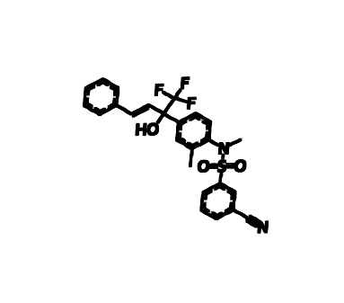 Cc1cc(C(O)(/C=C/c2ccccc2)C(F)(F)F)ccc1N(C)S(=O)(=O)c1cccc(C#N)c1